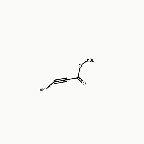 CCCC#CC(=O)OCCCC